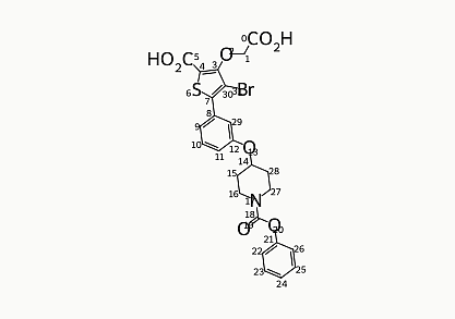 O=C(O)COc1c(C(=O)O)sc(-c2cccc(OC3CCN(C(=O)Oc4ccccc4)CC3)c2)c1Br